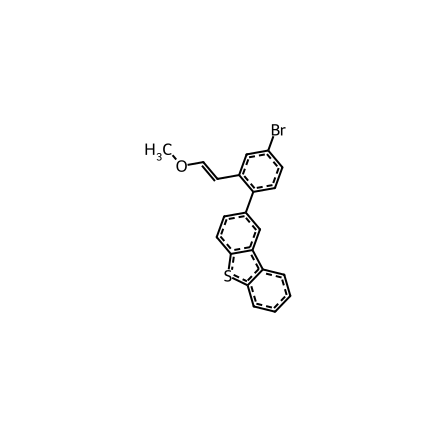 CO/C=C/c1cc(Br)ccc1-c1ccc2sc3ccccc3c2c1